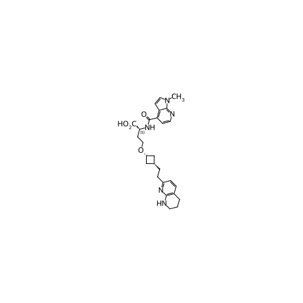 Cn1ccc2c(C(=O)N[C@@H](CCO[C@H]3C[C@H](CCc4ccc5c(n4)NCCC5)C3)C(=O)O)ccnc21